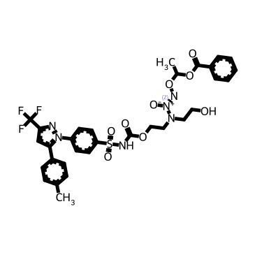 Cc1ccc(-c2cc(C(F)(F)F)nn2-c2ccc(S(=O)(=O)NC(=O)OCCN(CCO)/[N+]([O-])=N/OC(C)OC(=O)c3ccccc3)cc2)cc1